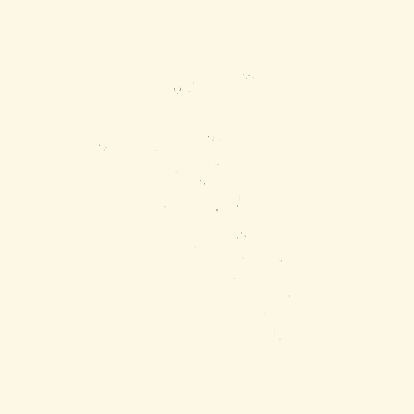 COC(CNC(=O)N[C@](C)(Cc1ccc(C#N)cc1)C(=O)Nc1cc(Cl)c(F)c(Cl)c1)OC